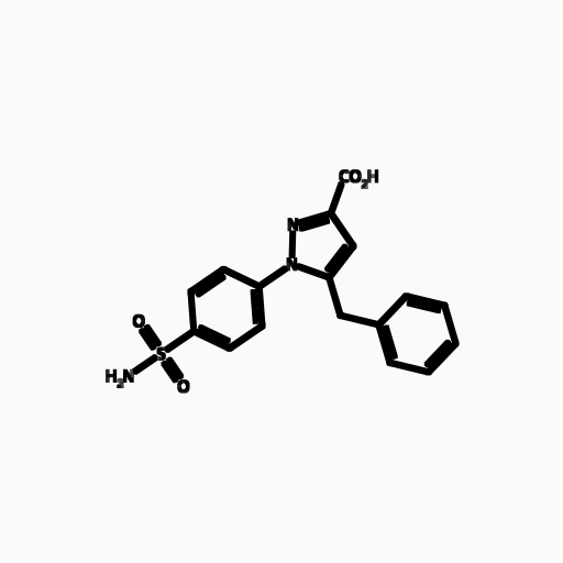 NS(=O)(=O)c1ccc(-n2nc(C(=O)O)cc2Cc2ccccc2)cc1